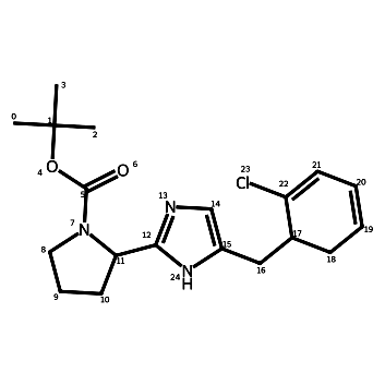 CC(C)(C)OC(=O)N1CCCC1c1ncc(CC2CC=CC=C2Cl)[nH]1